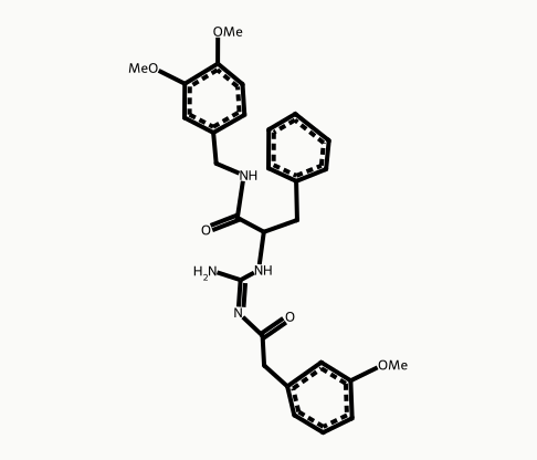 COc1cccc(CC(=O)N=C(N)NC(Cc2ccccc2)C(=O)NCc2ccc(OC)c(OC)c2)c1